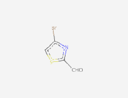 O=Cc1nc(Br)cs1